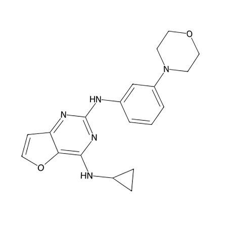 c1cc(Nc2nc(NC3CC3)c3occc3n2)cc(N2CCOCC2)c1